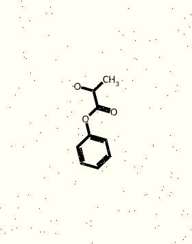 CC([O])C(=O)Oc1ccccc1